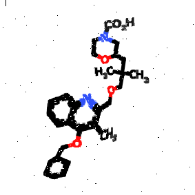 Cc1c(COCC(C)(C)CC2CN(C(=O)O)CCO2)nc2ccccc2c1OCc1ccccc1